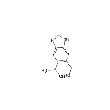 CC(O)c1cc2nc[nH]c2cc1CO